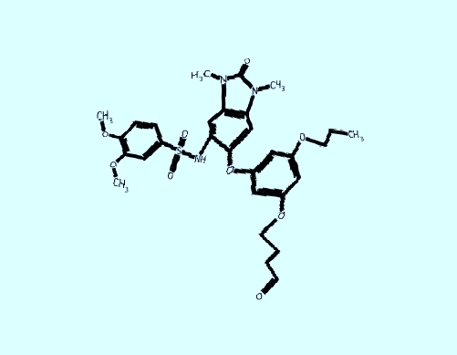 CCCOc1cc(OCCCC=O)cc(Oc2cc3c(cc2NS(=O)(=O)c2ccc(OC)c(OC)c2)n(C)c(=O)n3C)c1